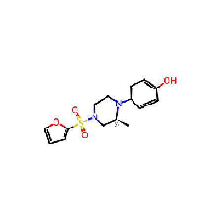 C[C@H]1CN(S(=O)(=O)c2ccco2)CCN1c1ccc(O)cc1